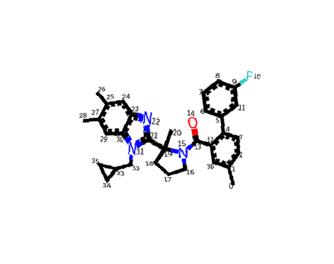 Cc1ccc(-c2cccc(F)c2)c(C(=O)N2CCCC2(C)c2nc3cc(C)c(C)cc3n2CC2CC2)c1